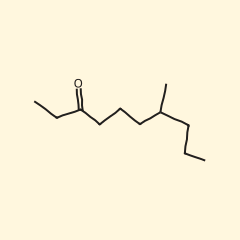 CCCC(C)CCCC(=O)CC